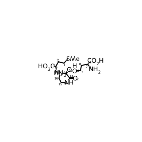 CSCC[C@H](N)C(=O)O.N[C@@H](CCO)C(=O)O.O=C1NCCNC1=O